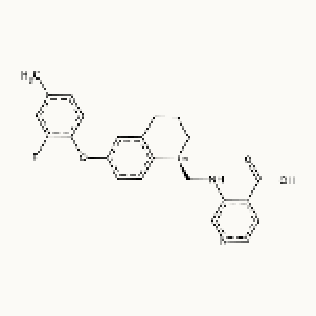 Cc1ccc(Oc2ccc3c(c2)CCC[C@H]3CNc2cnccc2C(=O)O)c(F)c1